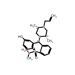 C=CCN1C[C@H](C)N([C@H](c2cccc(O)c2)c2ccccc2S(=O)(=O)N(C)C)C[C@@H]1C